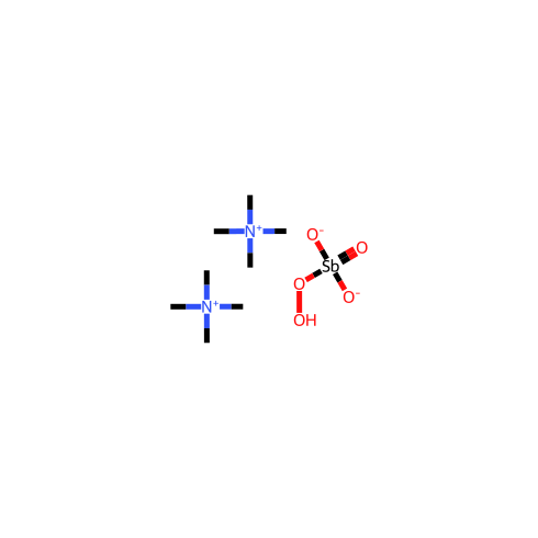 C[N+](C)(C)C.C[N+](C)(C)C.[O]=[Sb]([O-])([O-])[O]O